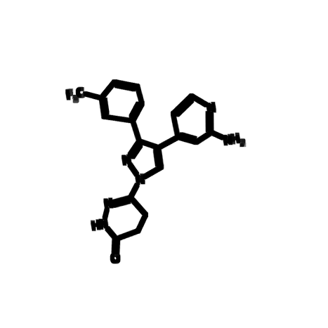 Nc1cc(-c2cn(C3=NNC(=O)CC3)nc2-c2cccc(C(F)(F)F)c2)ccn1